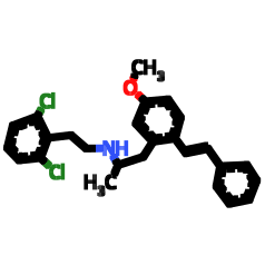 COc1ccc(C=Cc2ccccc2)c(CC(C)NCCc2c(Cl)cccc2Cl)c1